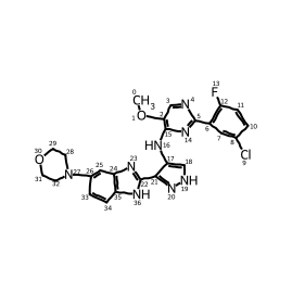 COc1cnc(-c2cc(Cl)ccc2F)nc1Nc1c[nH]nc1-c1nc2cc(N3CCOCC3)ccc2[nH]1